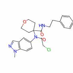 Cn1ncc2cc(N(C(=O)CCl)C3(C(=O)NCCc4ccccc4)CCOCC3)ccc21